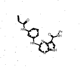 C=CC(=O)Nc1cccc(Nc2cnc3[nH]cc(C(=O)NC(C)C)c3n2)c1